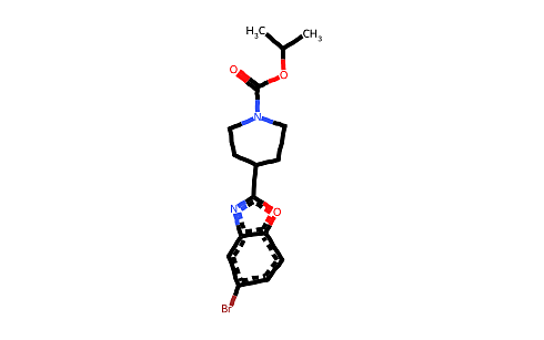 CC(C)OC(=O)N1CCC(c2nc3cc(Br)ccc3o2)CC1